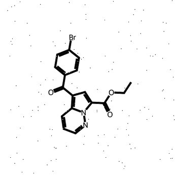 CCOC(=O)c1cc(C(=O)c2ccc(Br)cc2)c2cccnn12